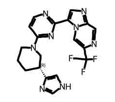 FC(F)(F)c1cn2c(-c3nccc(N4CCC[C@@H](c5c[nH]cn5)C4)n3)cnc2cn1